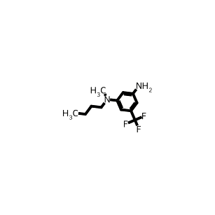 CCCCN(C)c1cc(N)cc(C(F)(F)F)c1